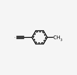 [C]#Cc1ccc(C)cc1